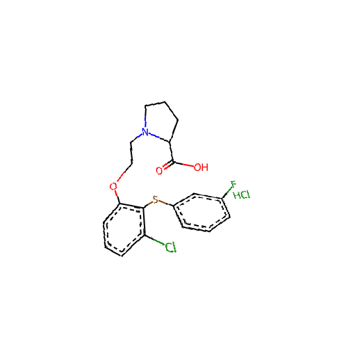 Cl.O=C(O)C1CCCN1CCOc1cccc(Cl)c1Sc1cccc(F)c1